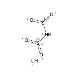 O=[SH](=O)N[SH](=O)=O.[LiH]